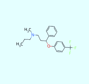 CCCN(C)CCC(Oc1ccc(C(F)(F)F)cc1)c1ccccc1